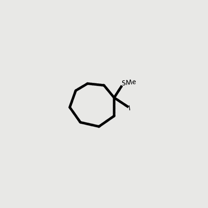 CSC1(I)CCCCCCC1